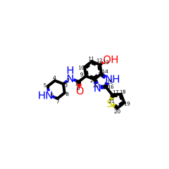 O=C(NC1CCNCC1)c1ccc(O)c2[nH]c(-c3cccs3)nc12